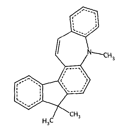 CN1c2ccccc2C=Cc2c1ccc1c2-c2ccccc2C1(C)C